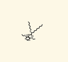 CCCCCCCCC(SCCCCCC)C(=O)Nc1c(OCC)ncnc1SCC